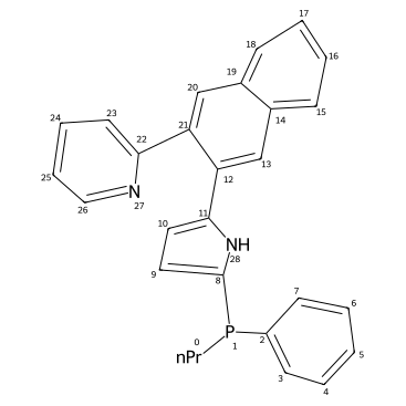 CCCP(c1ccccc1)c1ccc(-c2cc3ccccc3cc2-c2ccccn2)[nH]1